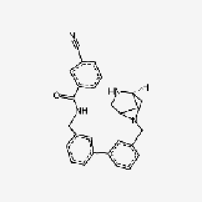 N#Cc1cccc(C(=O)NCc2cccc(-c3cccc(CN4C[C@H]5CC4CN5)c3)c2)c1